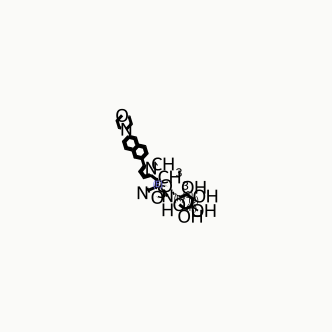 C/C(=C(/C#N)S(=O)(=O)NC[C@H]1OC(O)[C@H](O)[C@@H](O)[C@@H]1O)c1ccc(-c2ccc3cc(N4CCOCC4)ccc3c2)n1C